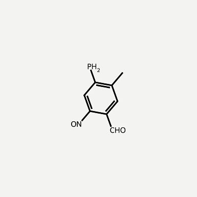 Cc1cc(C=O)c(N=O)cc1P